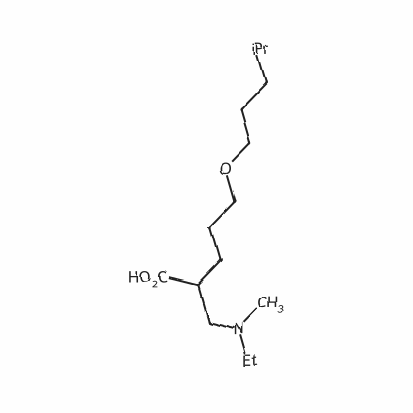 CCN(C)CC(CCCOCCCC(C)C)C(=O)O